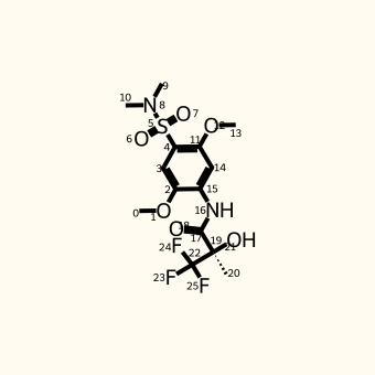 COc1cc(S(=O)(=O)N(C)C)c(OC)cc1NC(=O)[C@@](C)(O)C(F)(F)F